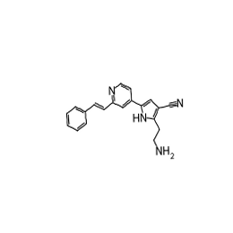 N#Cc1cc(-c2ccnc(C=Cc3ccccc3)c2)[nH]c1CCN